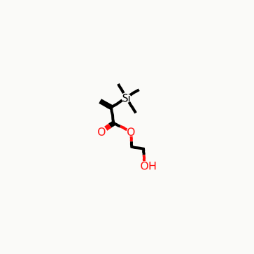 C=C(C(=O)OCCO)[Si](C)(C)C